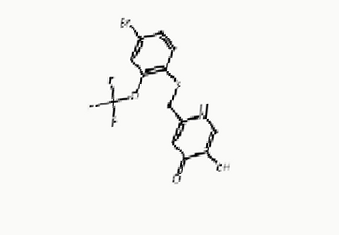 O=c1cc(CSc2ccc(Br)cc2OC(F)(F)F)[nH]cc1O